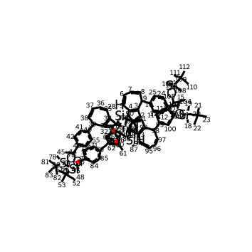 CC1=CC2=C(C=CC=CC2c2ccc(C(C)O[Si](C)(C)C(C)(C)C)cc2)[C]12[SiH](C)[C]1(C(C)=CC3=C1C=CC=CC3c1ccc(C(C)O[Si](C)(C)C(C)(C)C)cc1)[Zr]21([Cl])([Cl])[C]2(C(C)=CC3=C2C=CC=CC3c2ccc(C(C)O[Si](C)(C)C(C)(C)C)cc2)[SiH](C)[C]12C(C)=CC1=C2C=CC=CC1c1ccc(C(C)O[Si](C)(C)C(C)(C)C)cc1